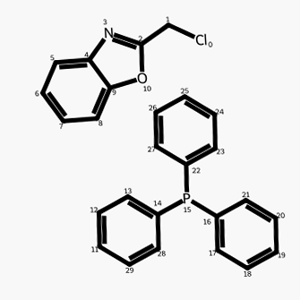 ClCc1nc2ccccc2o1.c1ccc(P(c2ccccc2)c2ccccc2)cc1